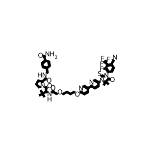 CC(C)(C)C(NC(=O)COCCCCOc1ccc(-c2ccc(N3C(=S)N(c4ccc(C#N)c(C(F)(F)F)c4F)C(=O)C3(C)C)cn2)cn1)C(=O)N1CCCC1C(=O)NCc1ccc(C(N)=O)cc1